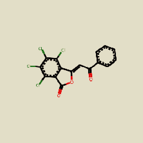 O=C(C=C1OC(=O)c2c(Cl)c(Cl)c(Cl)c(Cl)c21)c1ccccc1